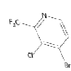 FC(F)(F)c1nccc(Br)c1Cl